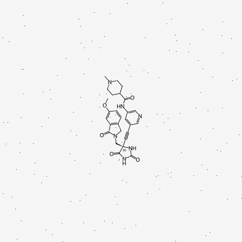 COc1ccc2c(c1)C(=O)N(C[C@@]1(C#Cc3cncc(NC(=O)C4CCN(C)CC4)c3)NC(=O)NC1=O)C2